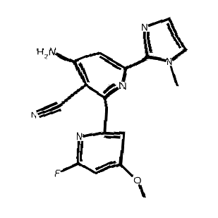 COc1cc(F)nc(-c2nc(-c3nccn3C)cc(N)c2C#N)c1